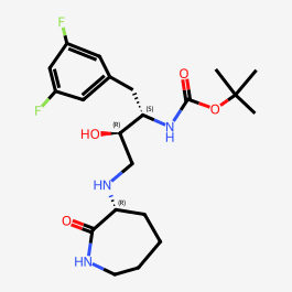 CC(C)(C)OC(=O)N[C@@H](Cc1cc(F)cc(F)c1)[C@H](O)CN[C@@H]1CCCCNC1=O